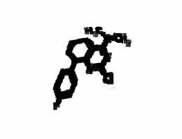 CN(C)c1nc(Cl)nc2c1CCCC2c1ccc(F)cc1